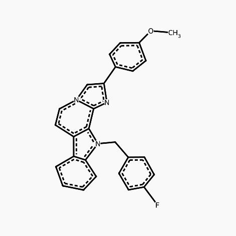 COc1ccc(-c2cn3ccc4c5ccccc5n(Cc5ccc(F)cc5)c4c3n2)cc1